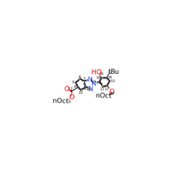 CCCCCCCCOC(=O)c1ccc2nn(-c3cc(OCCCCCCCC)cc(C(C)(C)C)c3O)nc2c1